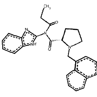 CCC(=O)N(C(=O)[C@@H]1CCCN1Cc1cccc2ccccc12)c1nc2ccccc2[nH]1